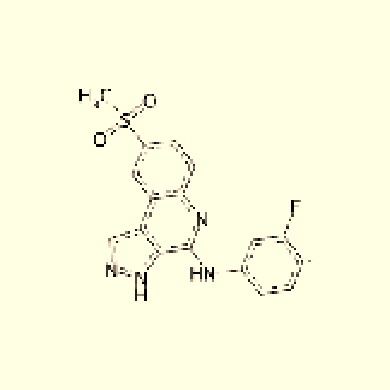 CS(=O)(=O)c1ccc2nc(Nc3cc[c]c(F)c3)c3[nH]ncc3c2c1